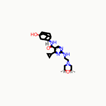 C[C@@H]1CN(CCNc2ncc(C(=O)N[C@H]3C4CC5CC3C[C@@](O)(C5)C4)c(C3CC3)n2)C[C@H](C)O1